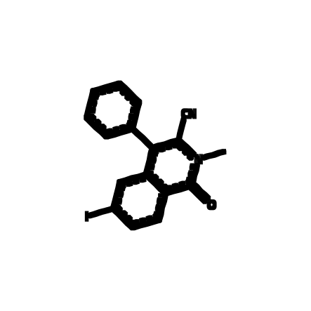 Cn1c(C#N)c(-c2ccccc2)c2cc(I)ccc2c1=O